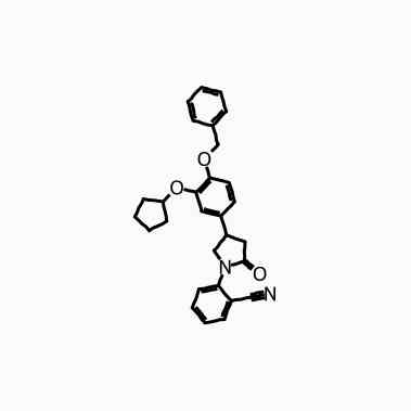 N#Cc1ccccc1N1CC(c2ccc(OCc3ccccc3)c(OC3CCCC3)c2)CC1=O